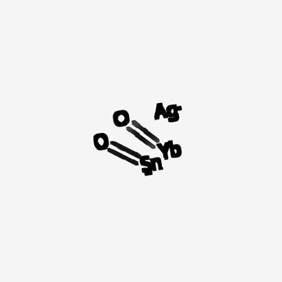 [Ag].[O]=[Sn].[O]=[Yb]